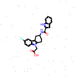 O=C(O)Cn1c2c(c3cc(F)ccc31)CC(NC(=O)c1cc3ccccc3[nH]1)CC2